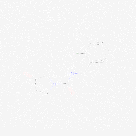 O=C1CCN(C(=O)NCc2cccc(C(F)(F)F)c2Cl)C1